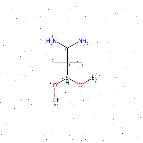 CCO[SiH](OCC)C(C)(C)C(N)N